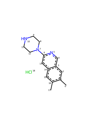 Cc1cc2cnc(N3CCNCC3)cc2cc1C.Cl